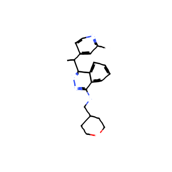 Cc1cc(C(C)c2nnc(NCC3CCOCC3)c3ccccc23)ccn1